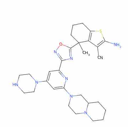 CC1(c2nc(-c3cc(N4CCNCC4)cc(N4CCN5CCCCC5C4)n3)no2)CCCc2sc(N)c(C#N)c21